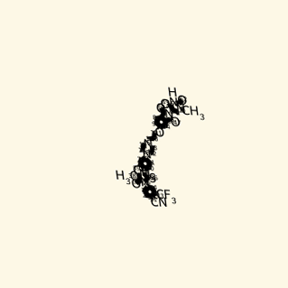 Cn1cc(N2C(=O)c3ccc(OCCCN4CCN(c5ccc(N6C(=S)N(c7ccc(C#N)c(C(F)(F)F)c7)C(=O)C6(C)C)cc5)CC4)cc3C2=O)c(=O)[nH]c1=O